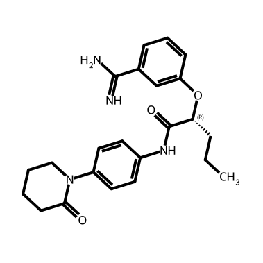 CCC[C@@H](Oc1cccc(C(=N)N)c1)C(=O)Nc1ccc(N2CCCCC2=O)cc1